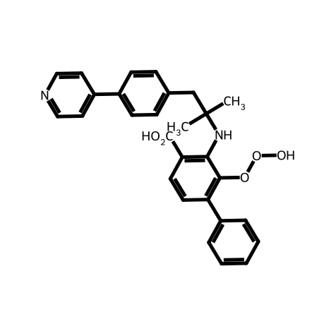 CC(C)(Cc1ccc(-c2ccncc2)cc1)Nc1c(C(=O)O)ccc(-c2ccccc2)c1OOO